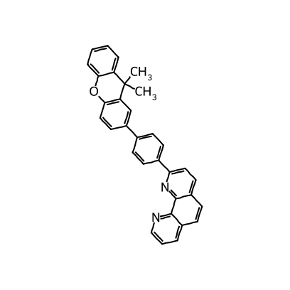 CC1(C)c2ccccc2Oc2ccc(-c3ccc(-c4ccc5ccc6cccnc6c5n4)cc3)cc21